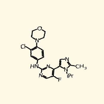 Cc1ncc(-c2nc(Nc3ccc(N4CCOCC4)c(Cl)c3)ncc2F)n1C(C)C